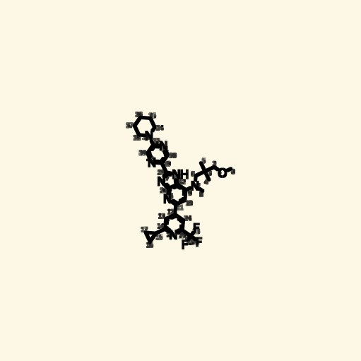 COCC(C)(C)CN(C)c1cc(-c2cc(C3CC3)nc(C(F)(F)F)c2)nc2nc(-c3cnc(N4CCCCC4)cn3)[nH]c12